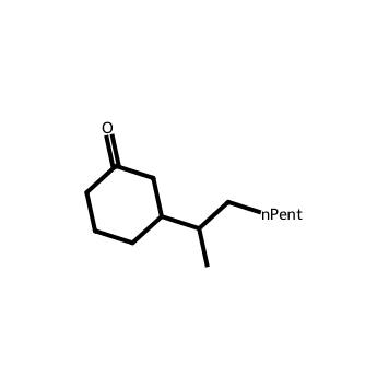 CCCCCCC(C)C1CCCC(=O)C1